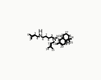 CC(C)=CCNCCCCN(CC=C(C)C)C[C@H]1C(C)=CC[C@H]2C(C)(C)CCC[C@]12C